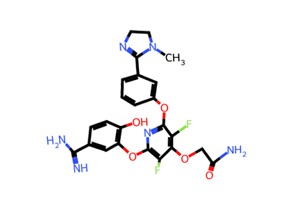 CN1CCN=C1c1cccc(Oc2nc(Oc3cc(C(=N)N)ccc3O)c(F)c(OCC(N)=O)c2F)c1